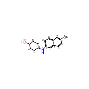 CC(=O)c1ccc2cc(NC3CCC(O)CC3)ccc2c1